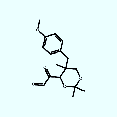 COc1ccc(CC2(C)COC(C)(C)OC2C(=O)C=O)cc1